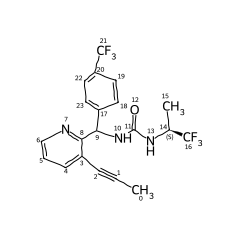 CC#Cc1cccnc1C(NC(=O)N[C@@H](C)C(F)(F)F)c1ccc(C(F)(F)F)cc1